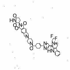 C[C@@H]1Cc2c([nH]c3ccccc23)[C@@H](c2cnc(C3=CCC(C(=O)N4CCC(N5Cc6cc7c(cc6C5)C(=O)N(C5CCC(=O)NC5=O)C7=O)CC4)CC3)nc2)N1CC(F)F